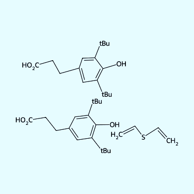 C=CSC=C.CC(C)(C)c1cc(CCC(=O)O)cc(C(C)(C)C)c1O.CC(C)(C)c1cc(CCC(=O)O)cc(C(C)(C)C)c1O